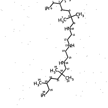 CC(C)CC(C)CCC(C)(C)CNCCNCCNCC(C)(C)CCC(C)CC(C)C